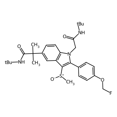 C[S+]([O-])c1c(-c2ccc(OCF)cc2)n(CC(=O)NC(C)(C)C)c2ccc(C(C)(C)C(=O)NC(C)(C)C)cc12